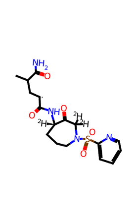 [2H]C1([2H])C(=O)[C@@]([2H])(NC(=O)[CH]CC(C)C(N)=O)CCCN1S(=O)(=O)c1ccccn1